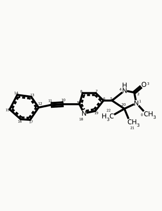 CN1C(=O)NC(c2ccc(C#Cc3ccccc3)nc2)C1(C)C